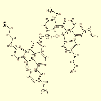 COc1ccc2c(C(=O)c3ccc(OCCBr)cc3)c(-c3ccccc3OC)ccc2c1.COc1cccc(-c2ccc3cc(OC)ccc3c2C(=O)c2ccc(OCCCBr)cc2)c1